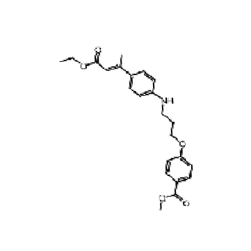 CCOC(=O)C=C(C)c1ccc(NCCCOc2ccc(C(=O)OC)cc2)cc1